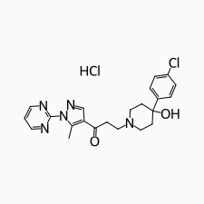 Cc1c(C(=O)CCN2CCC(O)(c3ccc(Cl)cc3)CC2)cnn1-c1ncccn1.Cl